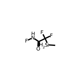 C[SiH2]C(F)(F)C(=O)NF